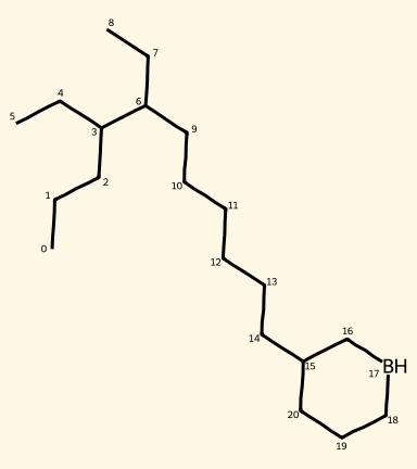 CCCC(CC)C(CC)CCCCCCC1CBCCC1